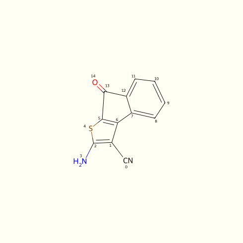 N#Cc1c(N)sc2c1-c1ccccc1C2=O